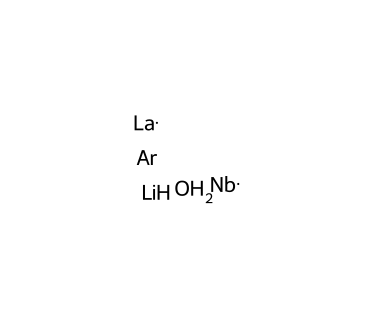 O.[Ar].[La].[LiH].[Nb]